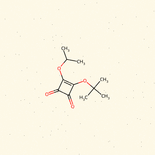 CC(C)Oc1c(OC(C)(C)C)c(=O)c1=O